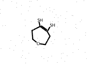 SC1=C(S)CCOCC1